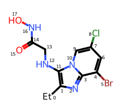 CCc1nc2c(Br)cc(Cl)cn2c1NCC(=O)NO